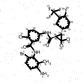 Cc1c(N)ccc(Br)c1NC(=O)c1cc(NC(=O)[C@H]2[C@H](c3ccc(F)c(C(F)(F)F)c3)C2(Cl)Cl)ccc1Cl